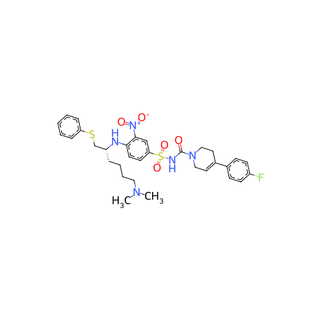 CN(C)CCCC[C@H](CSc1ccccc1)Nc1ccc(S(=O)(=O)NC(=O)N2CC=C(c3ccc(F)cc3)CC2)cc1[N+](=O)[O-]